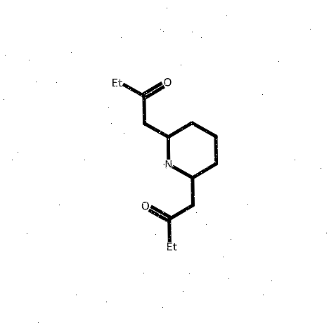 CCC(=O)CC1CCCC(CC(=O)CC)[N]1